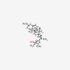 CC(=O)OC(CC[C@@H](C)[C@H]1CC[C@H]2[C@@H]3CC=C4C[C@@H](OC(C)=O)CC[C@]4(C)[C@H]3CC[C@]12C)C(C)(C)O